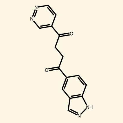 O=C(CCC(=O)c1ccc2[nH]ncc2c1)c1ccnnc1